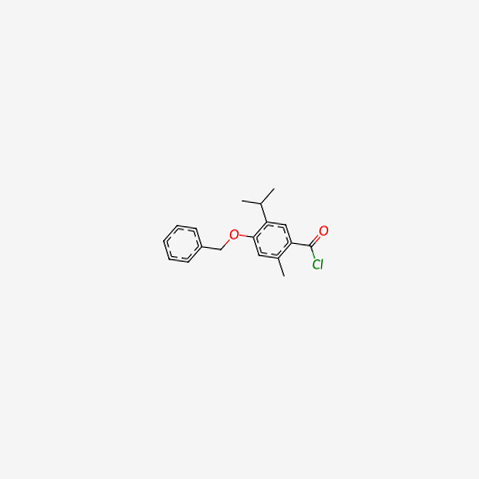 Cc1cc(OCc2ccccc2)c(C(C)C)cc1C(=O)Cl